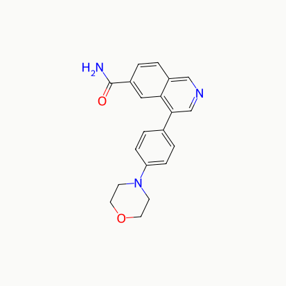 NC(=O)c1ccc2cncc(-c3ccc(N4CCOCC4)cc3)c2c1